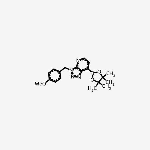 COc1ccc(Cn2nnc3c(B4OC(C)(C)C(C)(C)O4)ccnc32)cc1